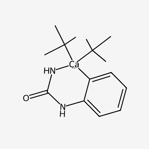 C[C](C)(C)[Ca]1([C](C)(C)C)[NH]C(=O)Nc2cccc[c]21